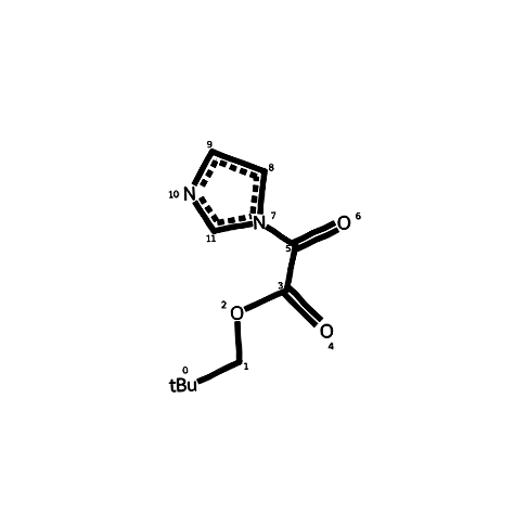 CC(C)(C)COC(=O)C(=O)n1ccnc1